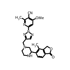 COc1cc(-n2ncc(CN3CCNC(c4ccc5c(c4C)COC5=O)C3)n2)nc(C)c1C#N